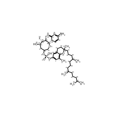 Cc1cc(OP(=O)(O)OC2CO[C@@H](n3ccc(N)nc3=O)C(F)[C@@H](F)[C@H](O)C2)cc2c1OC(C)(CCCC(C)CCCC(C)CCCC(C)C)CC2